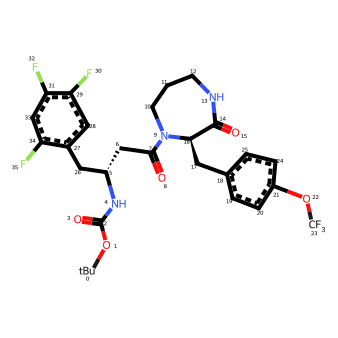 CC(C)(C)OC(=O)N[C@@H](CC(=O)N1CCCNC(=O)[C@H]1Cc1ccc(OC(F)(F)F)cc1)Cc1cc(F)c(F)cc1F